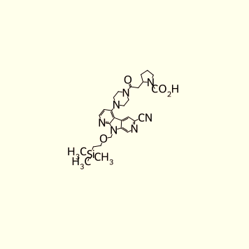 C[Si](C)(C)CCOCn1c2cnc(C#N)cc2c2c(N3CCN(C(=O)CC4CCCN4C(=O)O)CC3)ccnc21